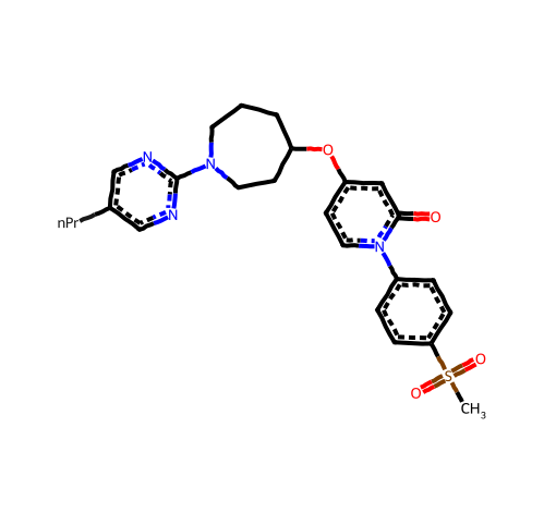 CCCc1cnc(N2CCCC(Oc3ccn(-c4ccc(S(C)(=O)=O)cc4)c(=O)c3)CC2)nc1